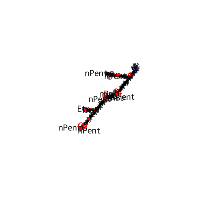 CCCCCC(CCCCC)CC(=O)OCCCCCCCCCCC(CCCCCCCCCCOC(=O)CC(CCCCC)C(CCCC)C(CCC)CC(CCCCC)CC(=O)OCCCCCCCCCCC(CCCCCCCCCCOC(=O)CC(CCCCC)CCCCC)COCCCN1CCN(C)CC1)COCCCN(C)CC